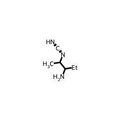 CCC(N)C(C)N=C=N